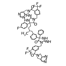 CC(CCC1(c2ccc(F)cc2)NC(=N)N(Cc2ccc(C(F)(F)F)c(C(=O)N3Cc4cncnc4C3)c2)C1=O)Cc1cccc(C2(c3ccccc3)NC(=N)N(Cc3ccc(C(F)(F)F)c(C(=O)N4Cc5cncnc5C4)c3)C2=O)c1